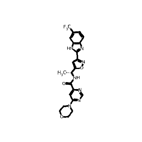 C[C@@H](NC(=O)c1cc(N2CCOCC2)ncn1)c1cc(-c2nc3ccc(C(F)(F)F)cc3[nH]2)no1